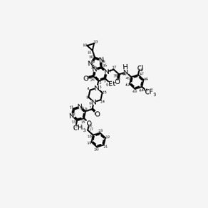 CCc1c(N2CCN(C(=O)c3ncnc(C)c3OCc3ccccc3)CC2)c(=O)n2nc(C3CC3)nc2n1CC(=O)Nc1ccc(C(F)(F)F)cc1Cl